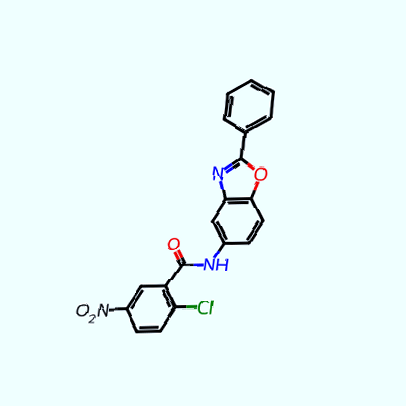 O=C(Nc1ccc2oc(-c3ccccc3)nc2c1)c1cc([N+](=O)[O-])ccc1Cl